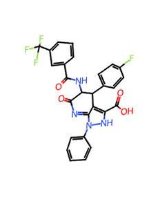 O=C(O)C1=C2C(=NC(=O)C(NC(=O)c3cccc(C(F)(F)F)c3)C2c2ccc(F)cc2)N(c2ccccc2)N1